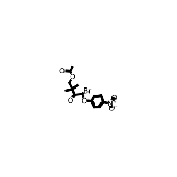 CC(=O)OCC(C)(C)C(=O)C(Br)Oc1ccc([N+](=O)[O-])cc1